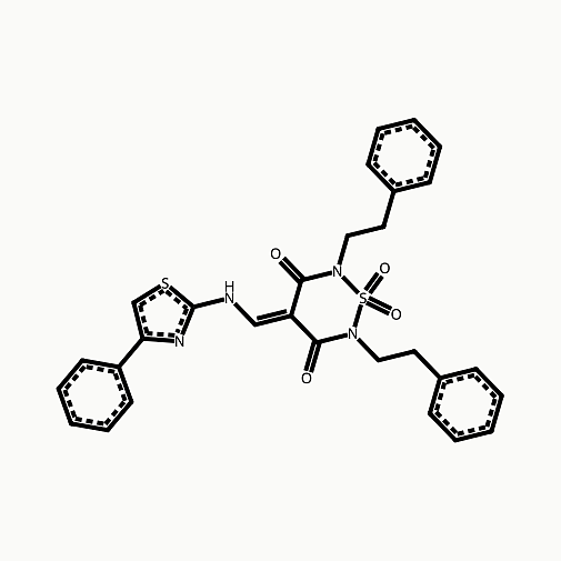 O=C1C(=CNc2nc(-c3ccccc3)cs2)C(=O)N(CCc2ccccc2)S(=O)(=O)N1CCc1ccccc1